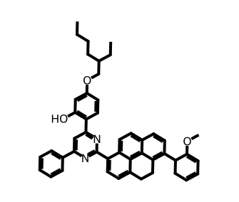 CCCCC(CC)COc1ccc(-c2cc(-c3ccccc3)nc(-c3ccc4c5c3ccc3ccc(C6CC=CC=C6OC)c(c35)CC4)n2)c(O)c1